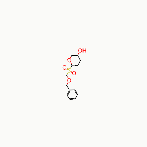 O=S(=O)(COCc1ccccc1)C1CCC(O)CO1